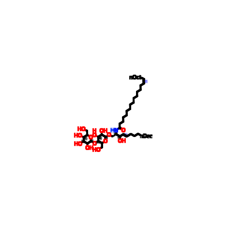 CCCCCCCC/C=C\CCCCCCCCCCCCCC(=O)N[C@@H](CO[C@@H]1OC(CO)[C@H](O[C@@H]2OC(CO)[C@H](O)[C@H](O)C2O)[C@H](O)C1O)[C@H](O)/C=C/CCCCCCCCCCCCC